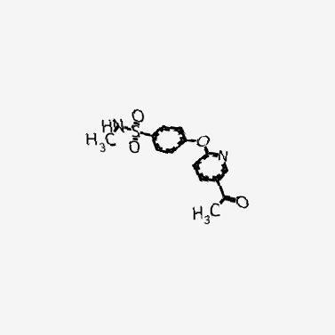 CNS(=O)(=O)c1ccc(Oc2ccc(C(C)=O)cn2)cc1